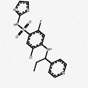 CCC(Nc1cc(F)c(S(=O)(=O)Nc2nccs2)cc1Cl)c1ccncc1